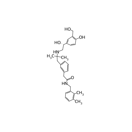 Cc1cccc(CNC(=O)Cc2cccc(CC(C)(C)NC[C@H](O)c3ccc(O)c(CO)c3)c2)c1C